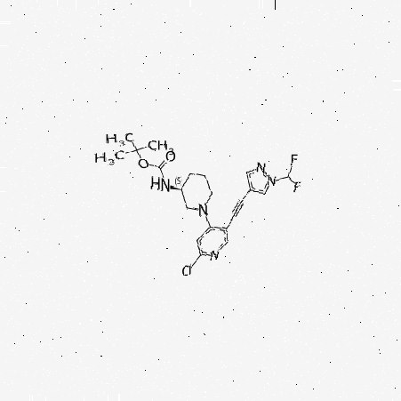 CC(C)(C)OC(=O)N[C@H]1CCCN(c2cc(Cl)ncc2C#Cc2cnn(C(F)F)c2)C1